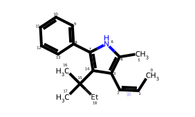 C/C=C\c1c(C)[nH]c(-c2ccccc2)c1C(C)(C)CC